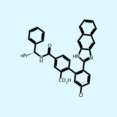 CCC[C@@H](NC(=O)c1ccc(-c2cc(Cl)ccc2-c2nc3cc4ccccc4cc3[nH]2)c(C(=O)O)c1)c1ccccc1